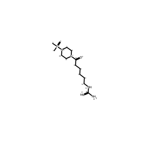 C=P(C)(C)N1CCN(C(=O)CCCCCNC(=N)N)CC1